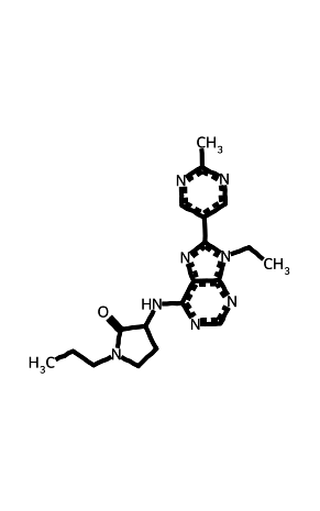 CCCN1CCC(Nc2ncnc3c2nc(-c2cnc(C)nc2)n3CC)C1=O